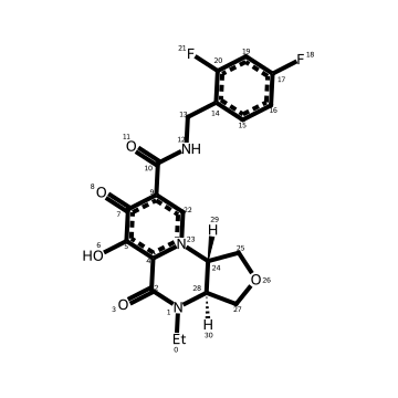 CCN1C(=O)c2c(O)c(=O)c(C(=O)NCc3ccc(F)cc3F)cn2[C@@H]2COC[C@H]21